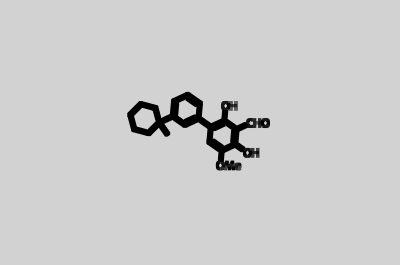 COc1cc(-c2cccc(C3(C)CCCCC3)c2)c(O)c(C=O)c1O